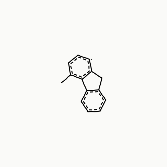 Cc1cc[c]c2c1-c1ccccc1C2